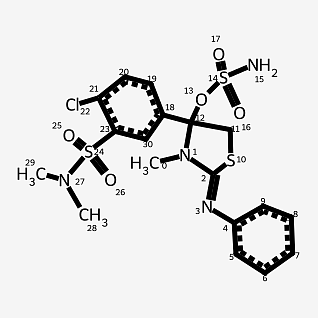 CN1C(=Nc2ccccc2)SCC1(OS(N)(=O)=O)c1ccc(Cl)c(S(=O)(=O)N(C)C)c1